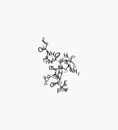 C=CC(=O)N[C@H](C)NC(=O)[C@@H]1[C@H]2C(C)(C)[C@@]2(N)CN1C(=O)[C@@H](NC(=O)C(F)(F)F)C1CC1